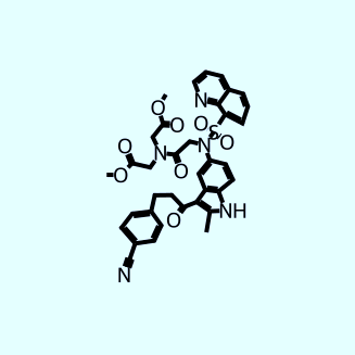 COC(=O)CN(CC(=O)OC)C(=O)CN(c1ccc2[nH]c(C)c(C(=O)CCc3ccc(C#N)cc3)c2c1)S(=O)(=O)c1cccc2cccnc12